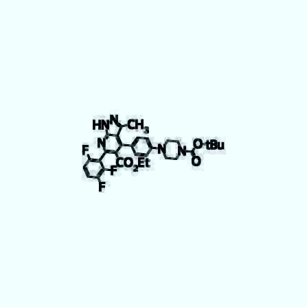 CCOC(=O)c1c(-c2c(F)ccc(F)c2F)nc2[nH]nc(C)c2c1-c1ccc(N2CCN(C(=O)OC(C)(C)C)CC2)cc1